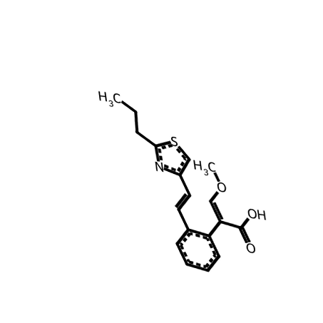 CCCc1nc(C=Cc2ccccc2C(=COC)C(=O)O)cs1